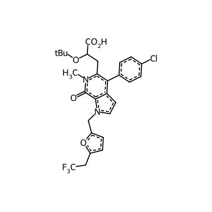 Cn1c(CC(OC(C)(C)C)C(=O)O)c(-c2ccc(Cl)cc2)c2ccn(Cc3ccc(CC(F)(F)F)o3)c2c1=O